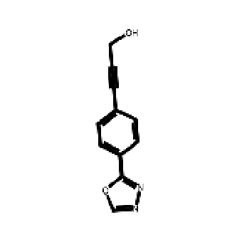 OCC#Cc1ccc(-c2nnco2)cc1